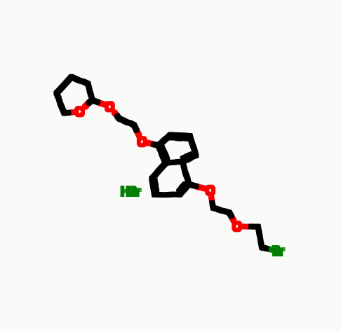 Br.BrCCOCCOc1cccc2c(OCCOC3CCCCO3)cccc12